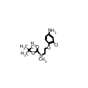 CN(CCOc1ccc(N)cc1Cl)C(=O)OC(C)(C)C